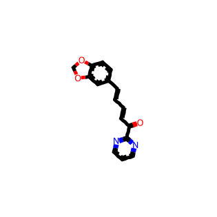 O=C(C=CC=Cc1ccc2c(c1)OCO2)c1ncccn1